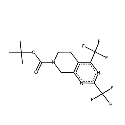 CC(C)(C)OC(=O)N1CCc2c(nc(C(F)(F)F)nc2C(F)(F)F)C1